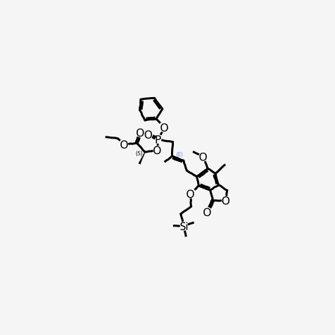 CCOC(=O)[C@H](C)OP(=O)(C/C(C)=C/Cc1c(OC)c(C)c2c(c1OCC[Si](C)(C)C)C(=O)OC2)Oc1ccccc1